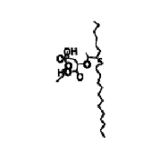 CCCCCCCCCCCCSC(CCCCCC)C(C)OC(CP(=O)(O)OCCC)C(=O)O